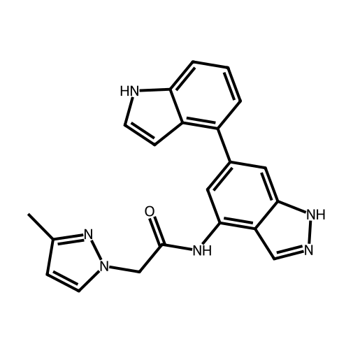 Cc1ccn(CC(=O)Nc2cc(-c3cccc4[nH]ccc34)cc3[nH]ncc23)n1